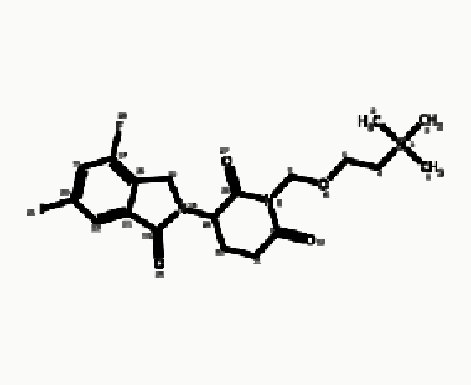 C[Si](C)(C)CCOCN1C(=O)CCC(N2Cc3c(F)cc(I)cc3C2=O)C1=O